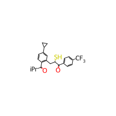 CC(C)C(=O)c1ccc(C2CC2)cc1CC(S)C(=O)c1ccc(C(F)(F)F)cc1